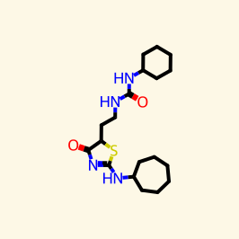 O=C(NCCC1SC(NC2CCCCCC2)=NC1=O)NC1CCCCC1